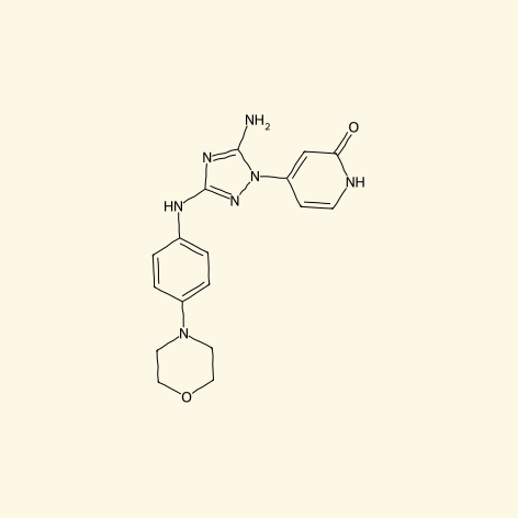 Nc1nc(Nc2ccc(N3CCOCC3)cc2)nn1-c1cc[nH]c(=O)c1